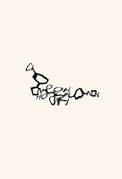 O=C(NCc1ccc(-n2ccnc2)cc1)[C@H](O)[C@@H](O)C(=O)N1CCCC1c1cccc(Cl)c1